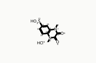 Cl.Cn1c(=O)c(=O)n(C)c2cc(S(=O)(=O)O)ccc21